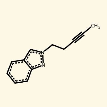 CC#CCCn1cc2ccccc2n1